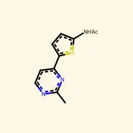 CC(=O)Nc1ccc(-c2ccnc(C)n2)s1